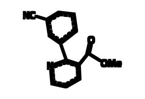 COC(=O)c1cccnc1-c1cccc(C#N)c1